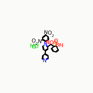 Cl.O=[N+]([O-])c1ccc(-[n+]2ccc(-c3ccncc3)cc2CC2(P(=O)(O)O)C=CC=CC2)c([N+](=O)[O-])c1.[Cl-]